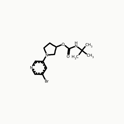 CC(C)(C)NC(=O)OC1CCN(c2cncc(Br)c2)C1